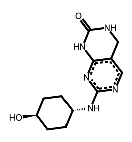 O=C1NCc2cnc(N[C@H]3CC[C@H](O)CC3)nc2N1